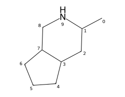 CC1CC2CCCC2CN1